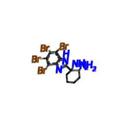 NC1CCCCC1(N)c1nc2c(Br)c(Br)c(Br)c(Br)c2[nH]1